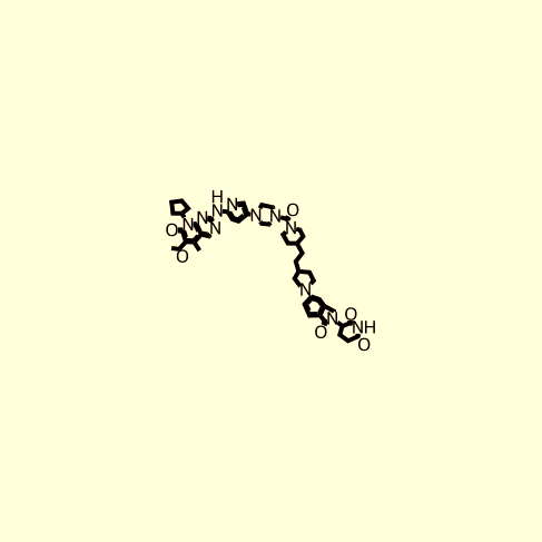 CC(=O)c1c(C)c2cnc(Nc3ccc(N4CCN(C(=O)N5CCC(CCC6CCN(c7ccc8c(c7)CN(C7CCC(=O)NC7=O)C8=O)CC6)CC5)CC4)cn3)nc2n(C2CCCC2)c1=O